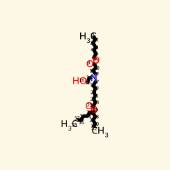 CCCCCCCOC(=O)CCCN(CCO)CCCCCCCC(=O)OC(CCCCC)CCCCCC